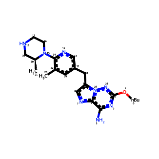 CCCCOc1nc(N)c2ncc(Cc3cnc(N4CCNC[C@@H]4C)c(C)c3)n2n1